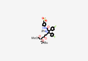 COC(=O)C[C@@H](CC(=O)C=Cc1c(-c2ccc(F)cc2)c(-c2ccc(F)cc2)c(C(=O)Nc2ccc(CS(C)(=O)=O)cc2)n1C(C)C)O[Si](C)(C)C(C)(C)C